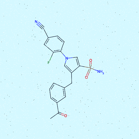 CC(=O)c1cccc(Cc2cn(-c3ccc(C#N)cc3F)cc2S(N)(=O)=O)c1